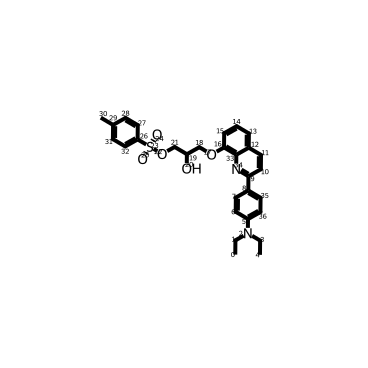 CCN(CC)c1ccc(-c2ccc3cccc(OCC(O)COS(=O)(=O)c4ccc(C)cc4)c3n2)cc1